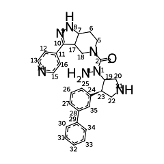 NN(C(=O)N1CCC2NN=C(c3ccncc3)C2C1)C1CNC[C@H]1c1cccc(-c2ccccc2)c1